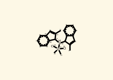 CC1=Cc2ccccc2C1[SiH](C1C(C)=Cc2ccccc21)[Zr]([CH3])([CH3])([Cl])[Cl]